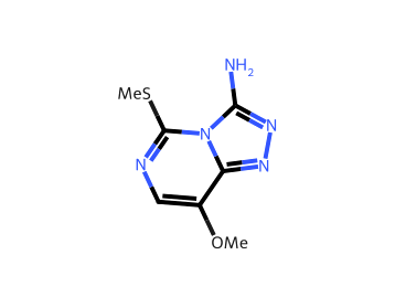 COc1cnc(SC)n2c(N)nnc12